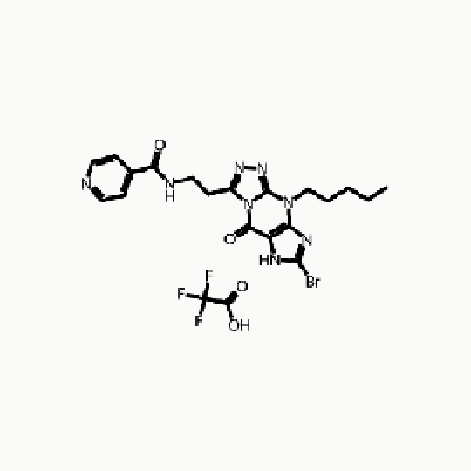 CCCCCn1c2nc(Br)[nH]c2c(=O)n2c(CCNC(=O)c3ccncc3)nnc12.O=C(O)C(F)(F)F